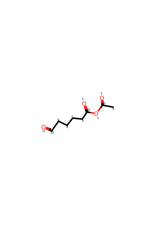 CC(=O)OC(=O)CCCC[C]=O